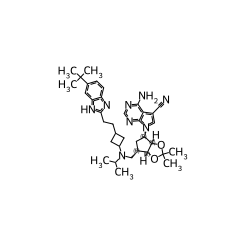 CC(C)N(C[C@H]1C[C@@H](n2cc(C#N)c3c(N)ncnc32)[C@@H]2OC(C)(C)O[C@H]12)C1CC(CCc2nc3ccc(C(C)(C)C)cc3[nH]2)C1